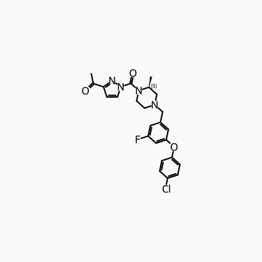 CC(=O)c1ccn(C(=O)N2CCN(Cc3cc(F)cc(Oc4ccc(Cl)cc4)c3)C[C@@H]2C)n1